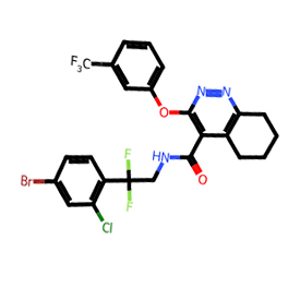 O=C(NCC(F)(F)c1ccc(Br)cc1Cl)c1c(Oc2cccc(C(F)(F)F)c2)nnc2c1CCCC2